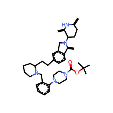 C=C1CCC(N2Cc3cc(CCC4CCCCN4Cc4ccccc4N4CCN(C(=O)OC(C)(C)C)CC4)ccc3C2=C)C(=C)N1